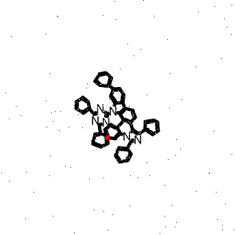 c1ccc(-c2ccc3c4ccc5c(c6ccccc6n6c(-c7ccccc7)nc(-c7ccccc7)c56)c4n(-c4nc(-c5ccccc5)nc(-c5ccccc5)n4)c3c2)cc1